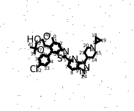 Cc1cc2nc(-c3ccc4c(n3)c(C3CCN(C5CC5)CC3)nn4C)sc2c(-c2ccc(Cl)cc2)c1[C@H](OC(C)(C)C)C(=O)O